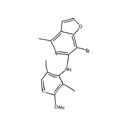 COc1ccc(C)c(Nc2nc(C)c3ccoc3c2Br)c1C